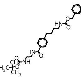 CC(C)(C)OC(=O)NCCNC(=O)c1ccc(CCCCNC(=O)OCc2ccccc2)cc1